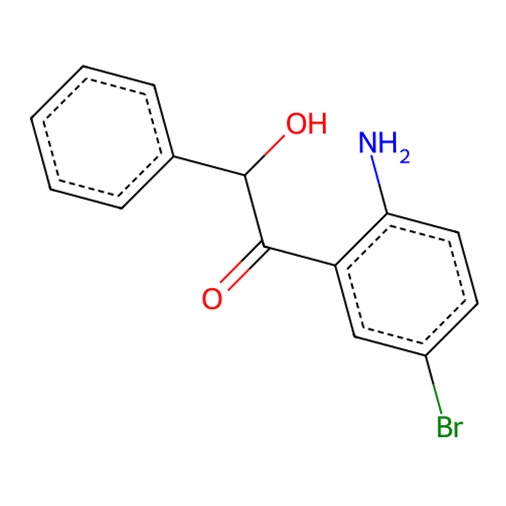 Nc1ccc(Br)cc1C(=O)C(O)c1ccccc1